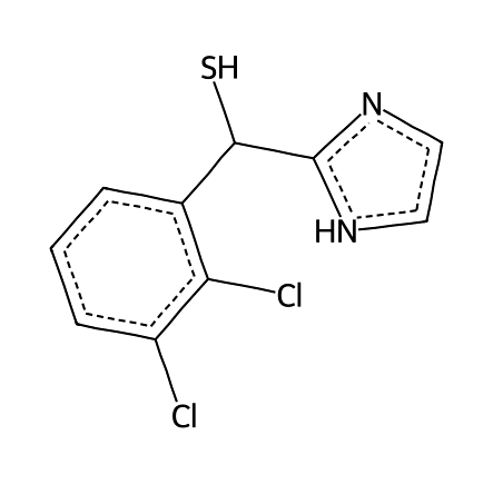 SC(c1ncc[nH]1)c1cccc(Cl)c1Cl